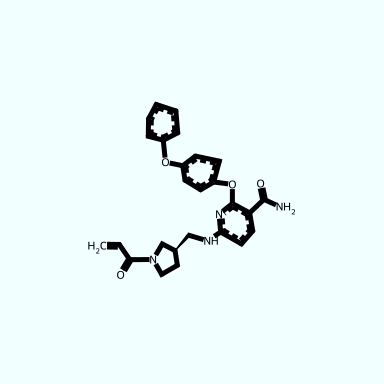 C=CC(=O)N1CC[C@H](CNc2ccc(C(N)=O)c(Oc3ccc(Oc4ccccc4)cc3)n2)C1